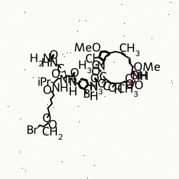 C=C(CBr)C(=O)OCCCCCC(=O)N[C@H](C(=O)N[C@@H](CCCNC(N)=O)C(=O)Nc1ccc(NC(=O)O[C@H]2CC(=O)N(C)c3cc(cc(OC)c3Cl)C/C(C)=C/C=C/[C@@H](OC)[C@@]3(O)C[C@H](OC(=O)N3)[C@@H](C)[C@@H]3O[C@@]23C)c(Br)c1)C(C)C